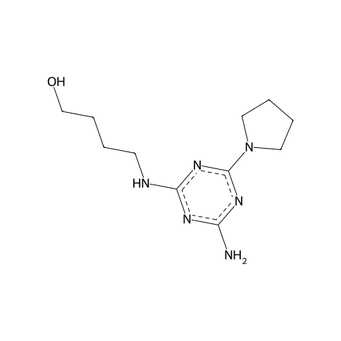 Nc1nc(NCCCCO)nc(N2CCCC2)n1